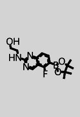 CC1(C)OB(c2ccc3nc(NCCO)ncc3c2F)OC1(C)C